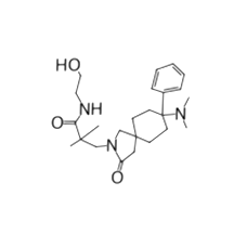 CN(C)C1(c2ccccc2)CCC2(CC1)CC(=O)N(CC(C)(C)C(=O)NCCO)C2